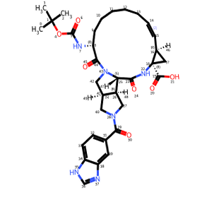 CC(C)(C)OC(=O)N[C@@H]1CCCCC/C=C\[C@H]2C[C@@]2(C(=O)O)NC(=O)[C@@H]2[C@H]3CN(C(=O)c4ccc5[nH]cnc5c4)C[C@H]3CN2C1=O